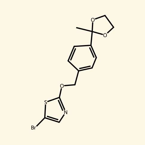 CC1(c2ccc(COc3ncc(Br)s3)cc2)OCCO1